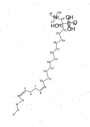 CCCC/C=C\CC/C=C\CCCCCCCCCCCCC(O)(C[N+](C)(C)C)P(=O)(O)O